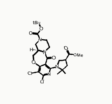 COC(=O)C1CN(c2nc(Cl)c(Cl)c3c2C(=O)N2CCN(C(=O)OC(C)(C)C)C[C@@H]2CO3)C(C)(C)C1